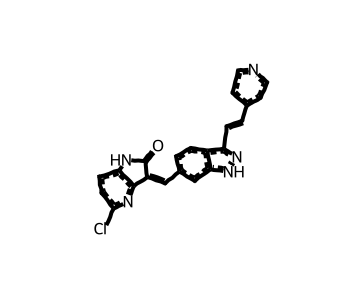 O=C1Nc2ccc(Cl)nc2C1=Cc1ccc2c(/C=C/c3ccncc3)n[nH]c2c1